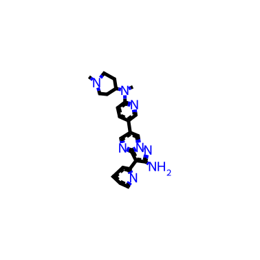 CN1CCC(N(C)c2ccc(-c3cnc4c(-c5ccccn5)c(N)nn4c3)cn2)CC1